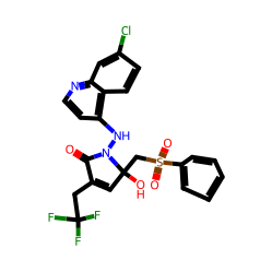 O=C1C(CC(F)(F)F)=CC(O)(CS(=O)(=O)c2ccccc2)N1Nc1ccnc2cc(Cl)ccc12